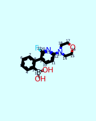 OB(O)c1ccccc1-c1ccc(N2CCOCC2)nc1F